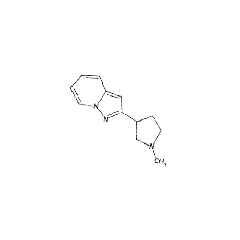 CN1CCC(c2cc3ccccn3n2)C1